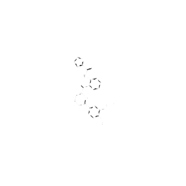 COc1ccc(C2=NN(C(=O)c3ccccc3NC(=O)c3cccs3)CCC2)cc1OC